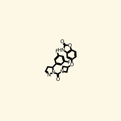 O=C(N1CC(Oc2ccc3oc(=O)[nH]c3c2)C1)N1N=CCC1c1cc(F)cc(F)c1